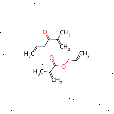 C=CCC(=O)C(=C)C.C=CCOC(=O)C(=C)C